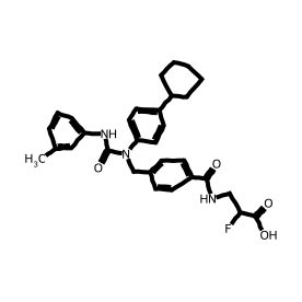 Cc1cccc(NC(=O)N(Cc2ccc(C(=O)NCC(F)C(=O)O)cc2)c2ccc(C3CCCCC3)cc2)c1